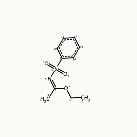 CCO/C(C)=N\S(=O)(=O)c1ccccc1